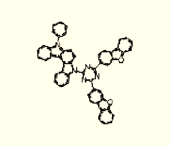 c1ccc(-n2c3ccccc3c3c4c5ccccc5n(-c5nc(-c6ccc7c(c6)oc6ccccc67)nc(-c6ccc7c(c6)oc6ccccc67)n5)c4ccc32)cc1